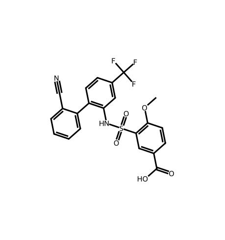 COc1ccc(C(=O)O)cc1S(=O)(=O)Nc1cc(C(F)(F)F)ccc1-c1ccccc1C#N